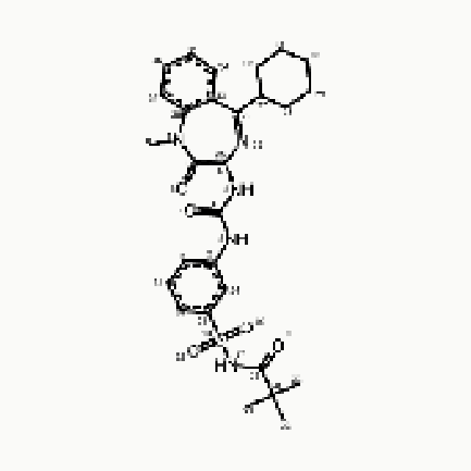 CN1C(=O)[C@H](NC(=O)Nc2cccc(S(=O)(=O)NC(=O)C(C)(C)C)c2)N=C(C2CCCCC2)c2ccccc21